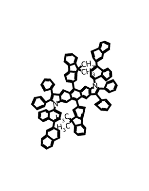 CC1(C)c2ccccc2-c2ccc(-c3c4cc5c(-c6ccccc6)c(-c6ccccc6)n(-c6ccc(-c7ccc8ccccc8c7)c7ccccc67)c5cc4c(-c4ccc5c(c4)C(C)(C)c4ccccc4-5)c4cc5c(-c6ccccc6)c(-c6ccccc6)n(-c6ccc(-c7ccc8ccccc8c7)c7ccccc67)c5cc34)cc21